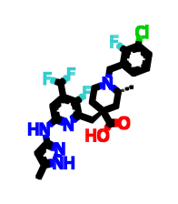 Cc1cc(Nc2cc(C(F)F)c(F)c(C[C@@]3(C(=O)O)CCN(Cc4cccc(Cl)c4F)[C@H](C)C3)n2)n[nH]1